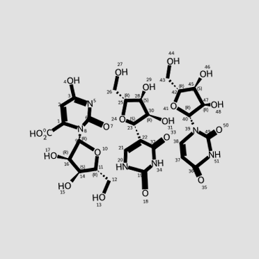 O=C(O)c1cc(O)nc(=O)n1[C@@H]1O[C@H](CO)[C@@H](O)[C@H]1O.O=c1[nH]cc([C@@H]2O[C@H](CO)[C@@H](O)[C@H]2O)c(=O)[nH]1.O=c1ccn([C@@H]2O[C@H](CO)[C@@H](O)[C@H]2O)c(=O)[nH]1